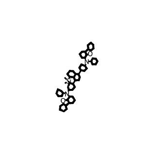 C[Si]1(C)c2cc(N(c3ccccc3)c3cccc4c3oc3ccccc34)ccc2-c2ccc(-c3ccc(N(c4ccccc4)c4cccc5c4oc4ccccc45)cc3)c3cccc1c23